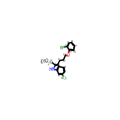 CCOC(=O)c1[nH]c2cc(Cl)ccc2c1CCCOc1ccccc1Br